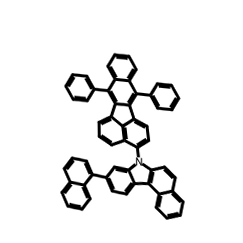 c1ccc(-c2c3c(c(-c4ccccc4)c4ccccc24)-c2ccc(-n4c5cc(-c6cccc7ccccc67)ccc5c5c6ccccc6ccc54)c4cccc-3c24)cc1